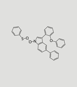 c1ccc(Oc2ccccc2-c2cn(OOSc3ccccc3)c3ccc(-c4ccccc4)cc23)cc1